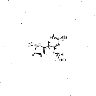 CC(C)(C)C(=N)/C=C(/CNC=O)Nc1cccc(Cl)c1